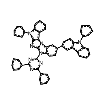 c1ccc(-c2nc(-c3ccccc3)nc(-n3c4ccc(-c5ccc6c(c5)c5ccccc5n6-c5ccccc5)cc4n4c5c6ccccc6n(-c6ccccc6)c5nc34)n2)cc1